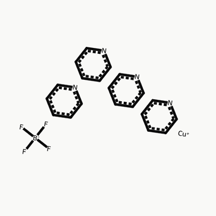 F[B-](F)(F)F.[Cu+].c1ccncc1.c1ccncc1.c1ccncc1.c1ccncc1